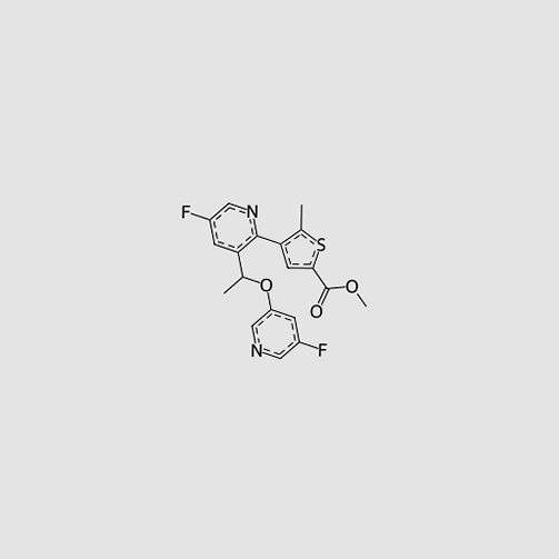 COC(=O)c1cc(-c2ncc(F)cc2C(C)Oc2cncc(F)c2)c(C)s1